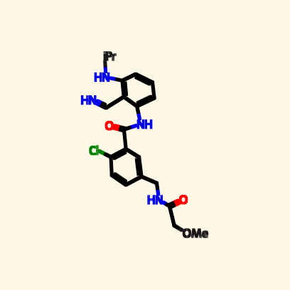 COCC(=O)NCc1ccc(Cl)c(C(=O)Nc2cccc(NC(C)C)c2C=N)c1